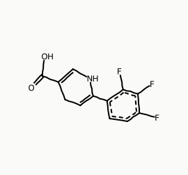 O=C(O)C1=CNC(c2ccc(F)c(F)c2F)=CC1